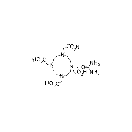 NC(N)=O.O=C(O)CN1CCN(CC(=O)O)CCN(CC(=O)O)CCN(CC(=O)O)CC1